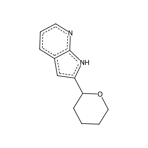 c1cnc2[nH]c(C3CCCCO3)cc2c1